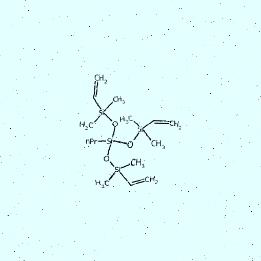 [CH2]CC[Si](O[Si](C)(C)C=C)(O[Si](C)(C)C=C)O[Si](C)(C)C=C